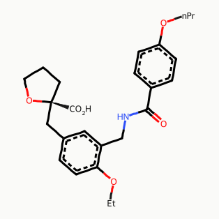 CCCOc1ccc(C(=O)NCc2cc(C[C@@]3(C(=O)O)CCCO3)ccc2OCC)cc1